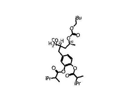 CCC(C)COC(=O)O[C@@H](C)CC(N)(Cc1ccc(OC(=O)C(C)C(C)C)c(OC(=O)C(C)C(C)C)c1)C(=O)O